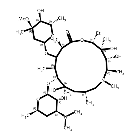 CC[C@H]1OC(=O)[C@H](C)C(O[C@H]2C[C@@](C)(OC)[C@@H](O)[C@H](C)O2)[C@H](C)[C@@H](O[C@@H]2O[C@H](C)C[C@H](N(C)C)[C@H]2O)[C@](C)(O)C[C@@H](C)CN(C)[C@H](C)[C@@H](O)[C@]1(C)O